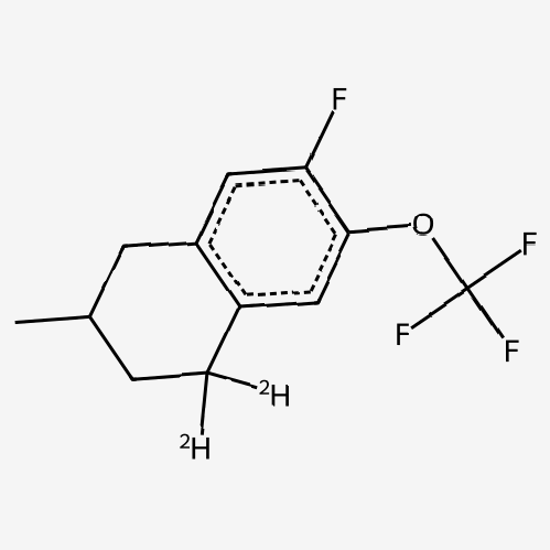 [2H]C1([2H])CC(C)Cc2cc(F)c(OC(F)(F)F)cc21